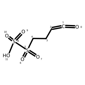 O=C=CCCS(=O)(=O)S(=O)(=O)O